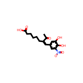 CC(=O)C(=Cc1cc(O)c(O)c([N+](=O)[O-])c1)CCCCCC(=O)O